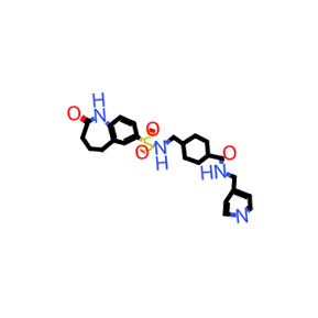 O=C1CCCc2cc(S(=O)(=O)NCC3CCC(C(=O)NCc4ccncc4)CC3)ccc2N1